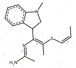 C/C=C\S/C(C)=C(/N=C(\C)N)C1CN(C)c2ccccc21